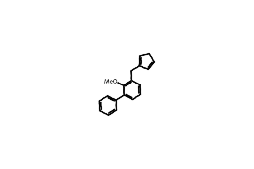 COc1c(CC2=CCC=C2)cccc1-c1ccccc1